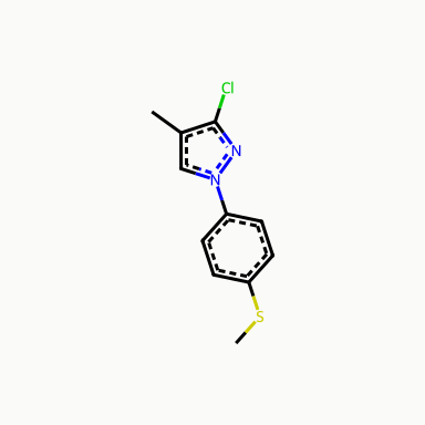 CSc1ccc(-n2cc(C)c(Cl)n2)cc1